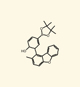 Cc1ccc2oc3ccccc3c2c1C1C=C(B2OC(C)(C)C(C)(C)O2)C=CC1O